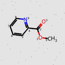 COC(=O)c1[c]cccn1